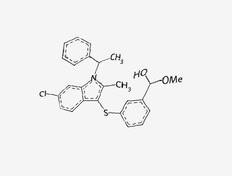 COC(O)c1cccc(Sc2c(C)n(C(C)c3ccccc3)c3cc(Cl)ccc23)c1